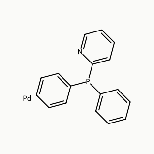 [Pd].c1ccc(P(c2ccccc2)c2ccccn2)cc1